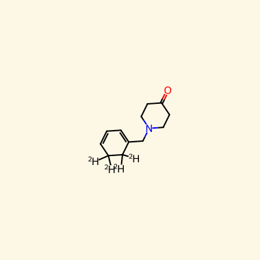 [2H]C1([2H])C=CC=C(CN2CCC(=O)CC2)C1([2H])[2H]